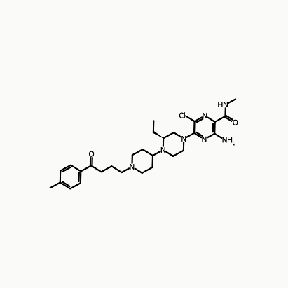 CC[C@H]1CN(c2nc(N)c(C(=O)NC)nc2Cl)CCN1C1CCN(CCCC(=O)c2ccc(C)cc2)CC1